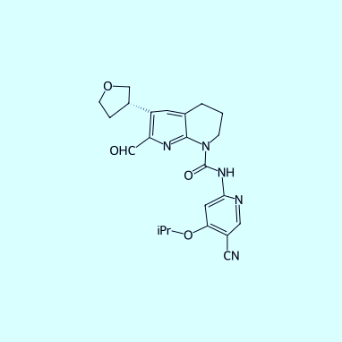 CC(C)Oc1cc(NC(=O)N2CCCc3cc([C@@H]4CCOC4)c(C=O)nc32)ncc1C#N